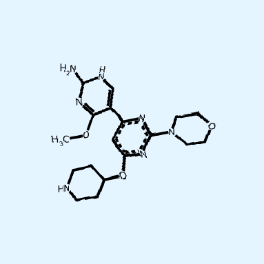 COC1=NC(N)NC=C1c1cc(OC2CCNCC2)nc(N2CCOCC2)n1